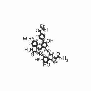 CCN(CC)C(=O)c1ccc(-c2cc(-c3nnc(C(N)=O)n3-c3ccc(OC)cc3)c(OOCCn3c(C(N)=O)nnc3-c3cc(Br)c(O)cc3O)cc2O)cc1